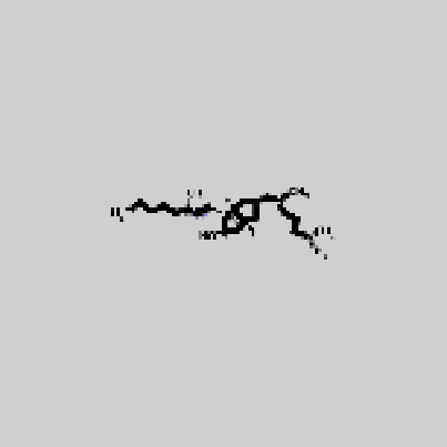 CCCCC[C@H](O)/C=C/[C@@H]1[C@H]2CC(CN(C)CCCN(C)C)=C[C@H]2C[C@H]1O